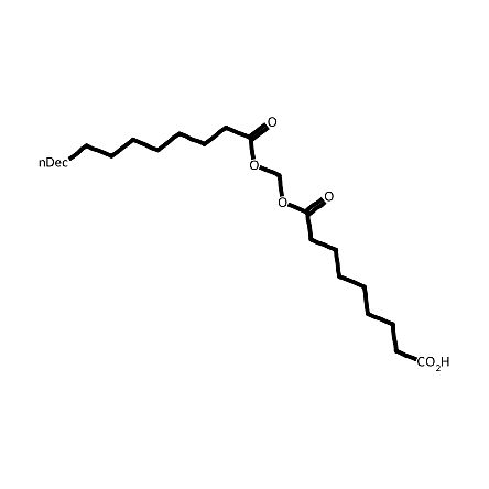 CCCCCCCCCCCCCCCCCC(=O)OCOC(=O)CCCCCCCC(=O)O